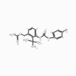 CC(C)(C)c1c(COC(N)=O)cccc1OC(=O)Oc1ccc(Br)cc1